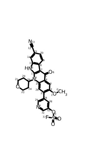 COc1cc2c(=O)c3c4ccc(C#N)cc4[nH]c3n(C3CCOCC3)c2cc1-c1cncc(OS(=O)(=O)F)c1